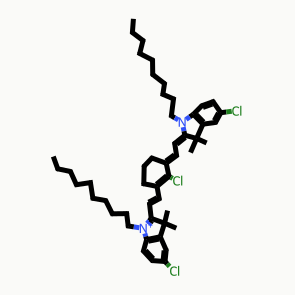 CCCCCCCCCCN1/C(=C/C=C2\CCCC(/C=C/C3=[N+](CCCCCCCCCC)c4ccc(Cl)cc4C3(C)C)=C2Cl)C(C)(C)c2cc(Cl)ccc21